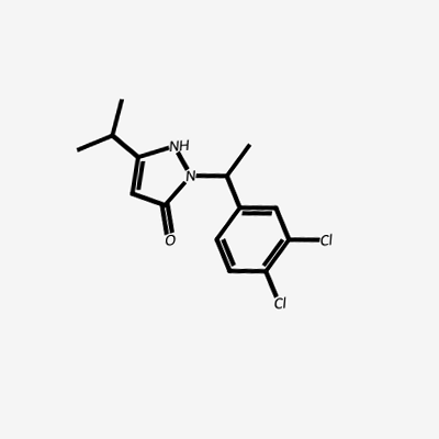 CC(C)c1cc(=O)n(C(C)c2ccc(Cl)c(Cl)c2)[nH]1